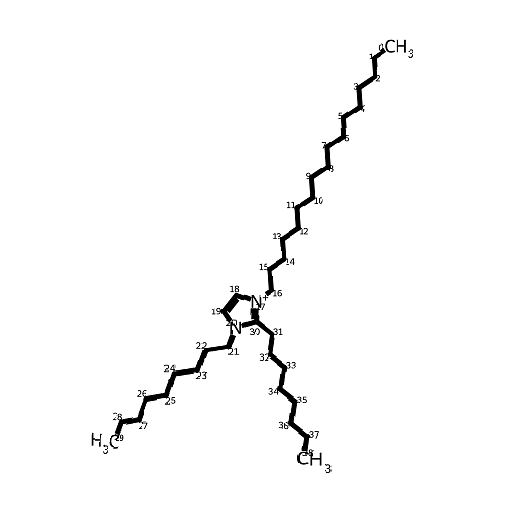 CCCCCCCCCCCCCCCCC[n+]1ccn(CCCCCCCCC)c1CCCCCCCC